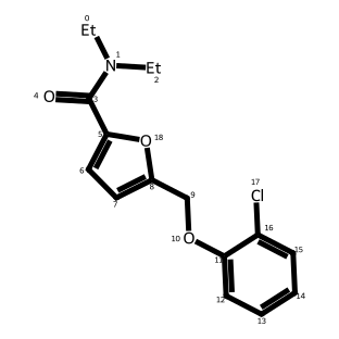 CCN(CC)C(=O)c1ccc(COc2ccccc2Cl)o1